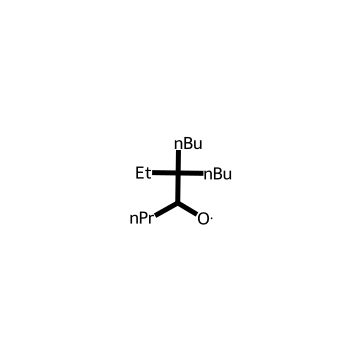 CCCCC(CC)(CCCC)C([O])CCC